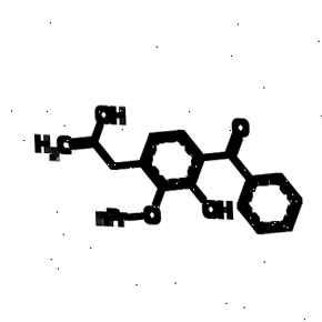 C=C(O)Cc1ccc(C(=O)c2ccccc2)c(O)c1OCCC